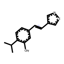 CC(C)c1ccc(/C=C/c2cnsc2)cc1O